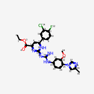 CCOC(=O)c1cc(-c2ccc(F)c(Cl)c2)[nH]/c(=N\C(=N)Nc2ccc(-n3cnc(C)c3)c(OC)c2)n1